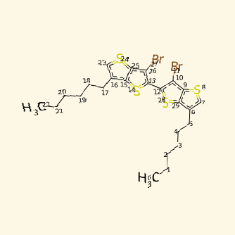 CCCCCCc1csc2c(Br)c(-c3sc4c(CCCCCC)csc4c3Br)sc12